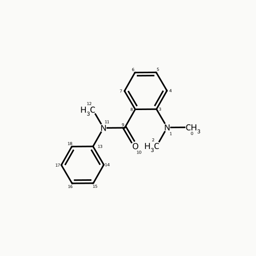 CN(C)c1ccccc1C(=O)N(C)c1ccccc1